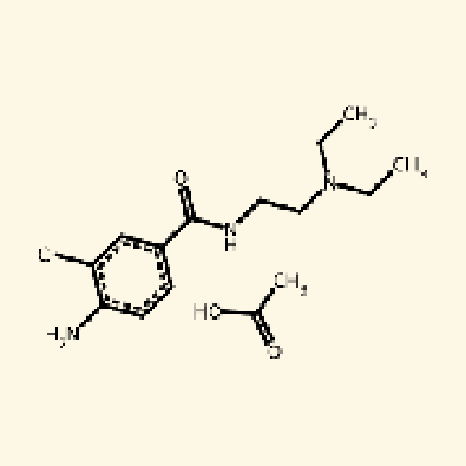 CC(=O)O.CCN(CC)CCNC(=O)c1ccc(N)c(Cl)c1